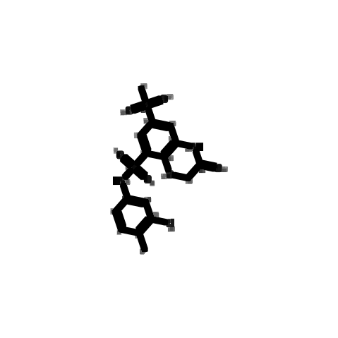 Cc1ccc(NS(=O)(=O)c2cc(S(C)(=O)=O)cc3c2OCC(=O)N3)cc1Cl